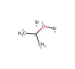 CC(C)[O][Er].[Er]